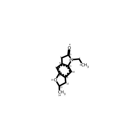 CCN1C(=O)Cc2cc3c(cc21)CC(C)O3